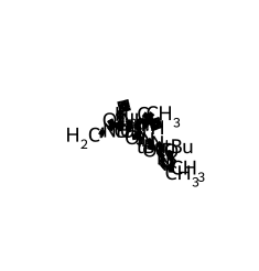 C=CCNC(=O)C(=O)C(CC1CCC1)NC(=O)[C@@H]1CC2(CN1C(=O)[C@H](NC(=O)N[C@H](CN1CCC(C)(C)CC1=O)C(C)(C)C)C(C)(C)C)C(C)(C)C21CCC1